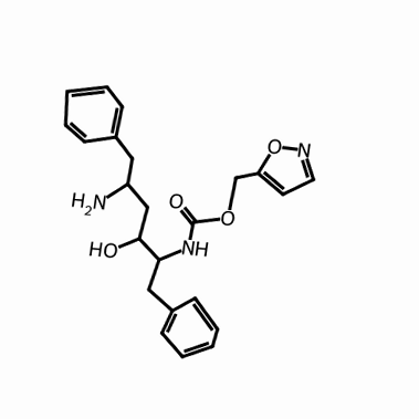 NC(Cc1ccccc1)CC(O)C(Cc1ccccc1)NC(=O)OCc1ccno1